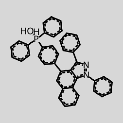 O[PH](c1ccccc1)(c1ccccc1)c1ccc(-c2cc3ccccc3c3c2c(-c2ccccc2)nn3-c2ccccc2)cc1